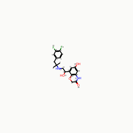 CC(C)(Cc1ccc(F)c(F)c1)NCC(O)c1cc(O)cc2c1OCC(=O)N2